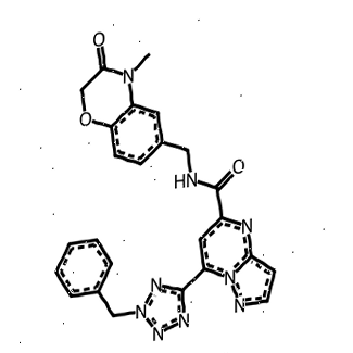 CN1C(=O)COc2ccc(CNC(=O)c3cc(-c4nnn(Cc5ccccc5)n4)n4nccc4n3)cc21